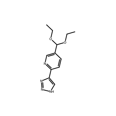 CCOC(OCC)c1ccc(-c2c[nH]nn2)nc1